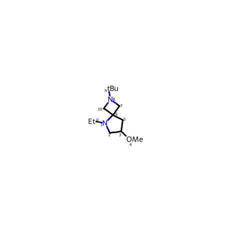 CCN1CC(OC)CC12CN(C(C)(C)C)C2